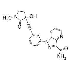 CN1CC[C@@](O)(C#Cc2cccc(-n3nc(C(N)=O)c4ncccc43)c2)C1=O